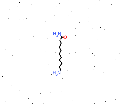 NCCCCCCCCCCC(N)=O